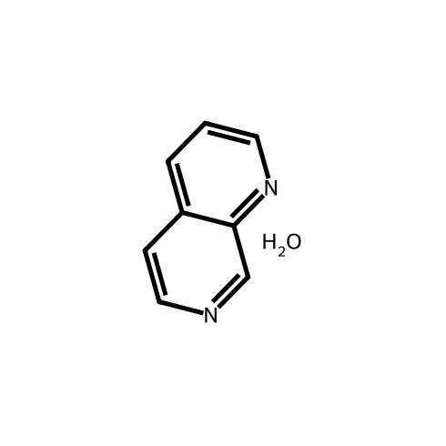 O.c1cnc2cnccc2c1